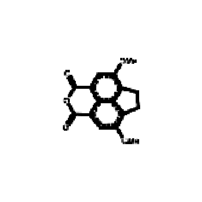 COc1cc2c3c(cc(OC)c4c3c1CC4)C(=O)OC2=O